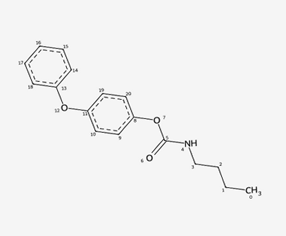 CCCCNC(=O)Oc1ccc(Oc2ccccc2)cc1